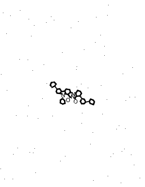 O=c1c2c(-c3cccc(-c4ccccc4)c3)cccc2n2c3ccc4c5cc(-c6ccccc6)ccc5n(-c5ccccc5)c4c3c(=O)n12